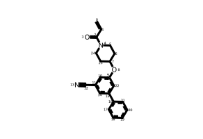 C=CC(=O)N1CCC(Oc2cc(C#N)cc(-c3ccccc3)c2)CC1